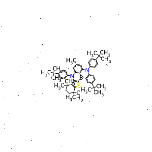 Cc1cc2c3c(c1)N(c1ccc(C(C)(C)C)cc1)c1c(sc4c1C(C)(C)CCC4(C)C)B3c1cc(C(C)(C)C)ccc1N2c1ccc(C(C)(C)C)cc1